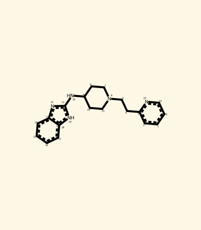 c1ccc(CCN2CCC(Nc3nc4ccccc4[nH]3)CC2)nc1